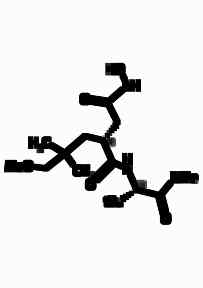 CNC(=O)[C@@H](NC(=O)[C@@H](CC(=O)NO)CC(C)(C)COC)C(C)(C)C